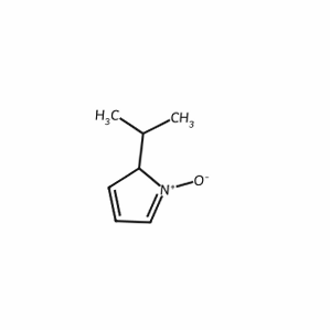 CC(C)C1C=CC=[N+]1[O-]